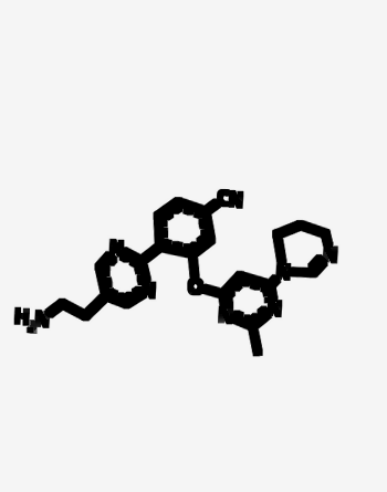 Cc1nc(Oc2cc(C#N)ccc2-c2ncc(CCN)cn2)cc(N2C=NCCC2)n1